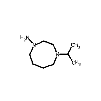 CC(C)N1CCCCN(N)CC1